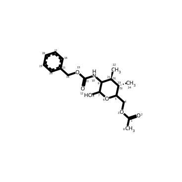 CC(=O)OCC1OC(O)C(NC(=O)OCc2ccccc2)[C@@H](C)[C@@H]1C